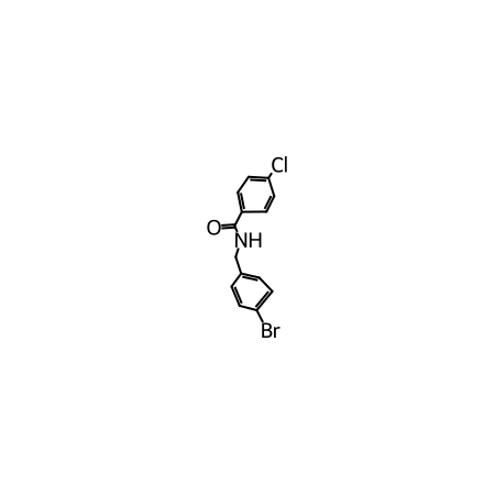 O=C(NCc1ccc(Br)cc1)c1ccc(Cl)cc1